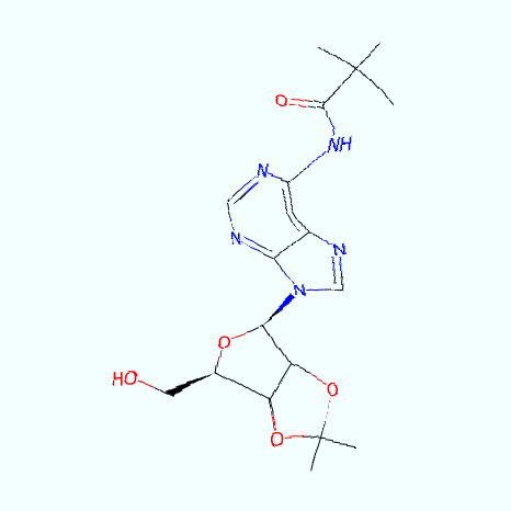 CC1(C)OC2C(O1)[C@@H](CO)O[C@H]2n1cnc2c(NC(=O)C(C)(C)C)ncnc21